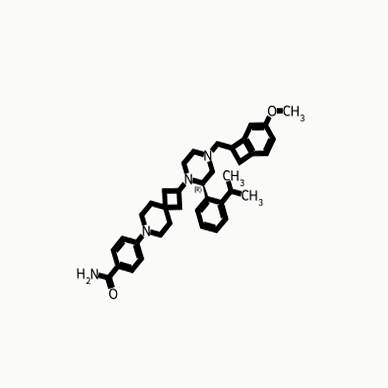 COc1ccc2c(c1)C(CN1CCN(C3CC4(CCN(c5ccc(C(N)=O)cc5)CC4)C3)[C@H](c3ccccc3C(C)C)C1)C2